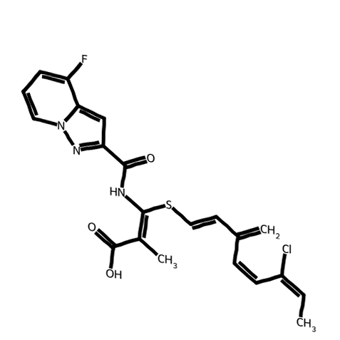 C=C(/C=C\C(Cl)=C/C)/C=C/S/C(NC(=O)c1cc2c(F)cccn2n1)=C(\C)C(=O)O